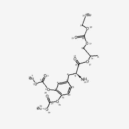 CCC(C)OC(=O)Oc1cc(C[C@H](N)C(=O)OC(C)COC(=O)OCC(C)(C)C)ccc1OC(=O)O[C@@H](C)CC